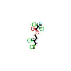 O=C(OCCC(Cl)CCl)C(F)(Cl)Cl